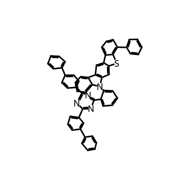 c1ccc(-c2ccc(-c3nc(-c4cccc(-c5ccccc5)c4)nc(-c4ccccc4-n4c5ccccc5c5cc6c(cc54)sc4c(-c5ccccc5)cccc46)n3)cc2)cc1